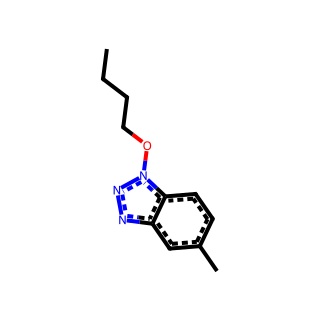 CCCCOn1nnc2cc(C)ccc21